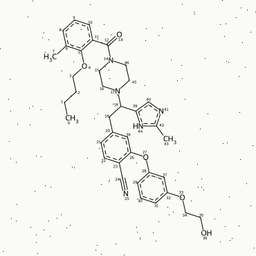 CCCCOc1c(C)cccc1C(=O)N1CCN(C(Cc2ccc(C#N)c(Oc3cccc(OCCO)c3)c2)c2cnc(C)[nH]2)CC1